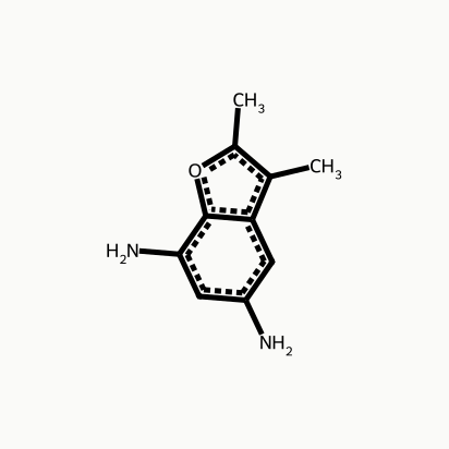 Cc1oc2c(N)cc(N)cc2c1C